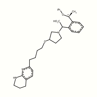 CC(C)O[C@@H](C)c1ccccc1C(C(=O)O)N1CCC(OCCCCc2ccc3c(n2)NCCC3)C1